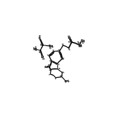 NC1CCc2[nH]c3ccc(CCC(=O)NO)cc3c2C1.O=C(O)C(=O)O